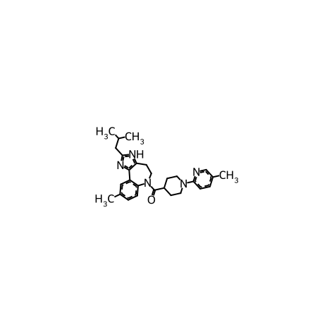 Cc1ccc(N2CCC(C(=O)N3CCc4[nH]c(CC(C)C)nc4-c4cc(C)ccc43)CC2)nc1